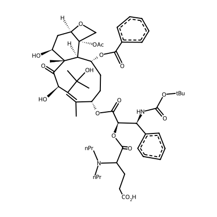 CCCN(CCC)C(CCC(=O)O)C(=O)O[C@@H](C(=O)O[C@H]1CC[C@@H](OC(=O)c2ccccc2)[C@@H]2[C@]3(OC(C)=O)CO[C@@H]3C[C@H](O)[C@@]2(C)C(=O)[C@H](O)/C(C(C)(C)O)=C/1C)[C@@H](NC(=O)OC(C)(C)C)c1ccccc1